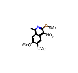 CCCCSc1nc(C)c2cc(OC)c(OC)cc2c1[N+](=O)[O-]